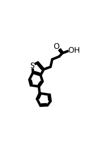 O=C(O)CCCc1csc2ccc(-c3ccccc3)cc12